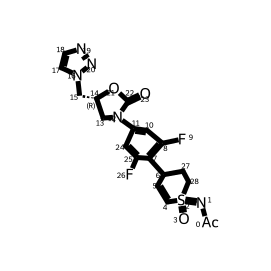 CC(=O)N=S1(=O)C=CC(c2c(F)cc(N3C[C@H](Cn4ccnn4)OC3=O)cc2F)CC1